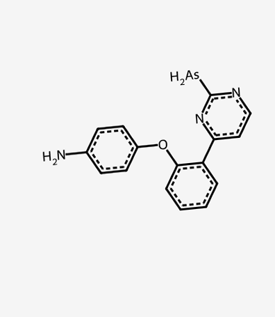 Nc1ccc(Oc2ccccc2-c2ccnc([AsH2])n2)cc1